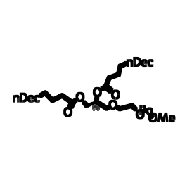 CCCCCCCCCCCCCC(=O)OC[C@H](COCC[O][Po][O]C)OC(=O)CCCCCCCCCCCCC